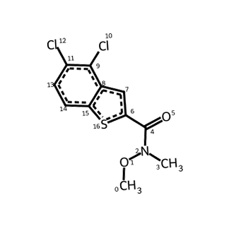 CON(C)C(=O)c1cc2c(Cl)c(Cl)ccc2s1